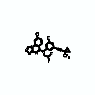 Fc1cc(C#CC2(C(F)(F)F)CC2)cc(N(CC(F)F)c2nc3nncn3c3cc(Cl)ccc23)c1